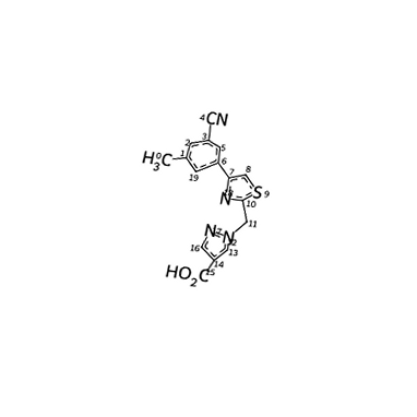 Cc1cc(C#N)cc(-c2csc(Cn3cc(C(=O)O)cn3)n2)c1